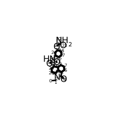 CCN1C(=O)c2cccc3c(S(=O)(=O)Nc4cccc(OC(N)=O)c4)ccc1c23